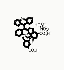 O=C(O)c1ccc(C[N+]2(Cc3ccc(C(=O)O)cc3F)C3=CC=CCC3=C(c3c4ccccc4nc4ccccc34)c3ccccc32)c(F)c1.O=[N+]([O-])O.O=[N+]([O-])[O-]